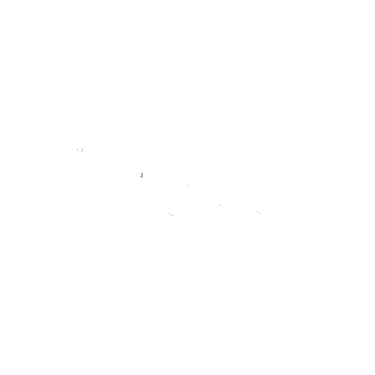 COCCNC(=O)c1ccc(N2CCN(C(=O)O)CC2)cn1